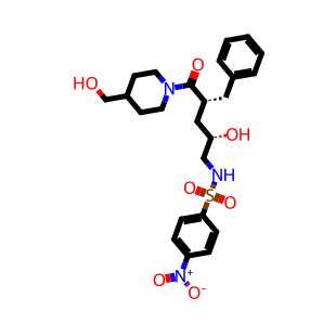 O=C([C@H](Cc1ccccc1)C[C@H](O)CNS(=O)(=O)c1ccc([N+](=O)[O-])cc1)N1CCC(CO)CC1